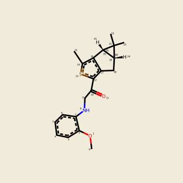 COc1ccccc1NCC(=O)c1sc(C)c2c1C[C@@H]1[C@H]2C1(C)C